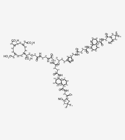 N#C[C@@H]1CC(F)(F)CN1C(=O)CNC(=O)c1cccc2c(NC(=O)CCC(=O)N[C@@H](CCCCn3cc(CNC(=O)CCC(=O)Nc4cccc5c(C(=O)NCC(=O)N6CC(F)(F)C[C@H]6C#N)ccnc45)nn3)C(=O)NCCNC(=O)CCCC(C(=O)O)N3CCN(CC(=O)O)CCN(CC(=O)O)CCN(CC(=O)O)CC3)cccc12